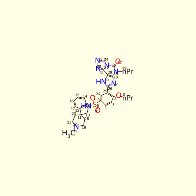 CCCOc1ccc(S(=O)(=O)NCC2(c3ccccc3)CCN(C)CC2)cc1-c1nc2c([nH]1)c1nncn1c(=O)n2CCC